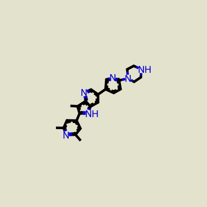 Cc1cc(-c2[nH]c3cc(-c4ccc(N5CCNCC5)nc4)cnc3c2C)cc(C)n1